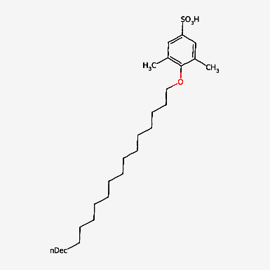 CCCCCCCCCCCCCCCCCCCCCCCCOc1c(C)cc(S(=O)(=O)O)cc1C